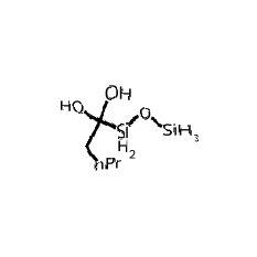 CCCCC(O)(O)[SiH2]O[SiH3]